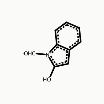 O=[C]n1c(O)cc2ccccc21